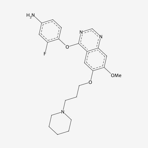 COc1cc2ncnc(Oc3ccc(N)cc3F)c2cc1OCCCN1CCCCC1